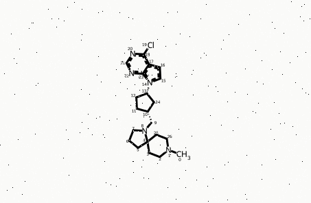 CN1CCC2(CCCN2C[C@@H]2CC[C@H](n3ccc4c(Cl)ncnc43)C2)CC1